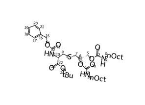 CCCCCCCCNC(=O)OC[C@@H](CSCC(NC(=O)OCc1ccccc1)C(=O)OC(C)(C)C)OC(=O)NCCCCCCCC